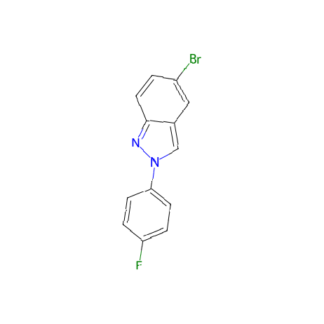 Fc1ccc(-n2cc3cc(Br)ccc3n2)cc1